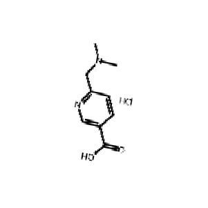 CN(C)Cc1ccc(C(=O)O)cn1.Cl